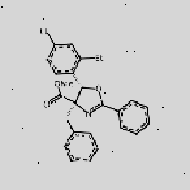 CCc1cc(Cl)ccc1[C@@H]1OC(c2ccccc2)=N[C@@]1(Cc1ccccc1)C(=O)OC